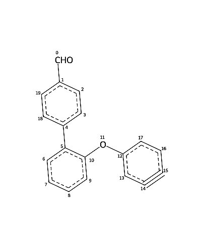 O=Cc1ccc(-c2ccccc2Oc2cc#ccc2)cc1